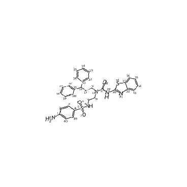 Nc1ccc(S(=O)(=O)NCCN(CCC(c2ccccc2)c2ccccc2)C(=O)Nc2nc3ccccc3s2)cc1